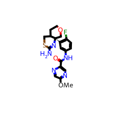 COc1cnc(C(=O)Nc2ccc(F)c([C@@]34COCCC3CSC(N)=N4)c2)cn1